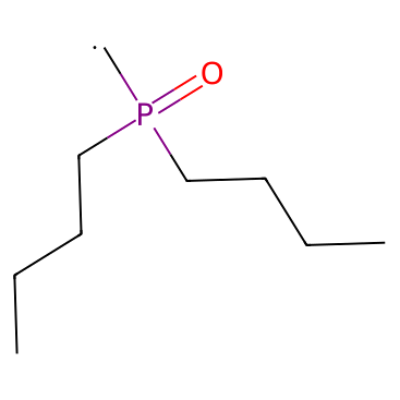 [CH2]P(=O)(CCCC)CCCC